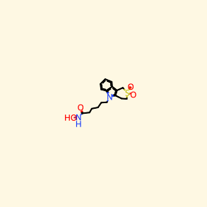 O=C(CCCCCn1c2c(c3ccccc31)CS(=O)(=O)CC2)NO